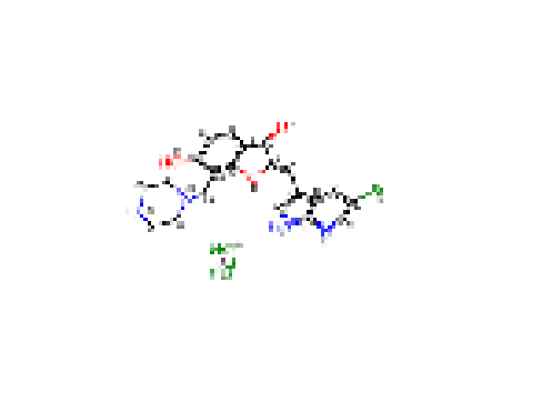 Cl.Cl.Cl.O=C1C(=Cc2c[nH]c3ncc(Br)cc23)Oc2c1ccc(O)c2CN1CCNCC1